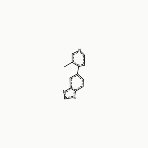 Cc1cnccc1-c1ccc2scnc2c1